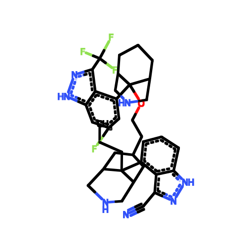 CCCC1(c2cccc3[nH]nc(C#N)c23)C2CNCC1CC(CCOC1(c3cc(F)cc4[nH]nc(C(F)(F)F)c34)C3CCCC1CNC3)C2